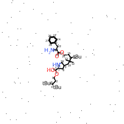 CC(C)(C)C(CCOC(O)C1CC(CC(C)(C)C(CCOC(=O)C(N)Cc2ccccc2)C(C)(C)C)CN1)C(C)(C)C